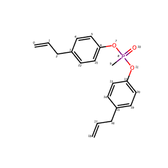 C=CCc1ccc(OP(C)(=O)Oc2ccc(CC=C)cc2)cc1